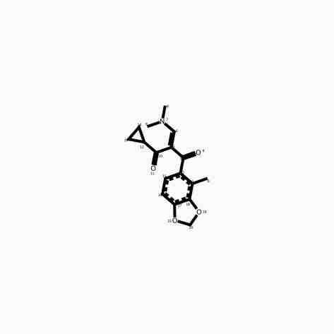 Cc1c(C(=O)/C(=C/N(C)C)C(=O)C2CC2)ccc2c1OCO2